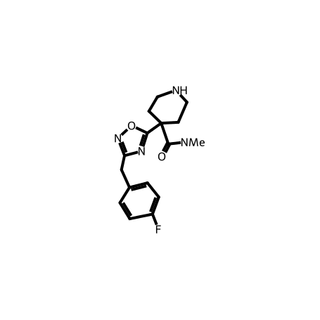 CNC(=O)C1(c2nc(Cc3ccc(F)cc3)no2)CCNCC1